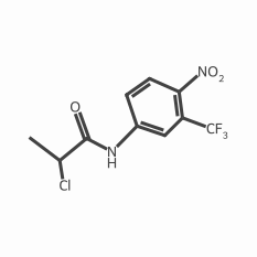 CC(Cl)C(=O)Nc1ccc([N+](=O)[O-])c(C(F)(F)F)c1